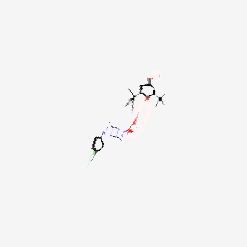 CC1CN(C(=O)COc2c(C(C)(C)C)cc(C=O)cc2C(C)(C)C)C(C)CN1Cc1ccc(F)cc1